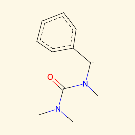 CN(C)C(=O)N(C)[CH]c1ccccc1